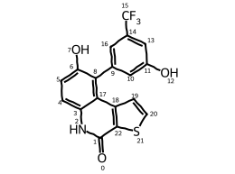 O=c1[nH]c2ccc(O)c(-c3cc(O)cc(C(F)(F)F)c3)c2c2ccsc12